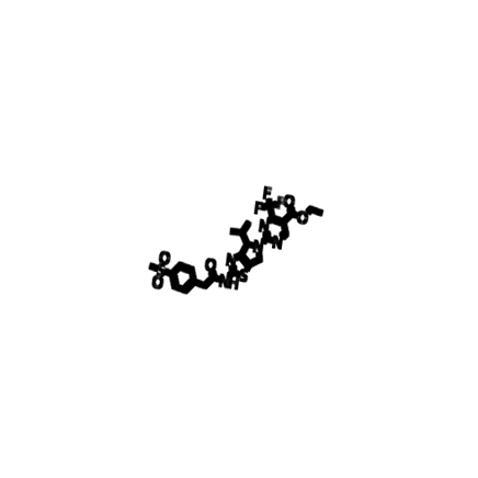 CCOC(=O)c1cnc(N2Cc3sc(NC(=O)Cc4ccc(S(C)(=O)=O)cc4)nc3C2C(C)C)nc1C(F)(F)F